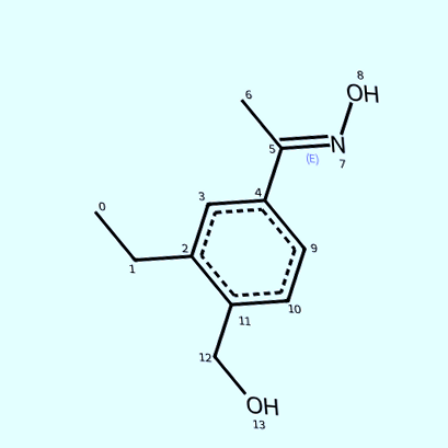 CCc1cc(/C(C)=N/O)ccc1CO